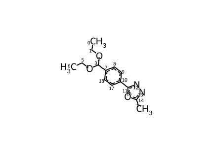 CCOC(OCC)c1ccc(-c2nnc(C)o2)cc1